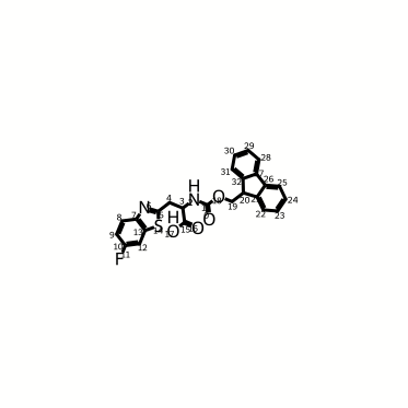 O=C(NC(Cc1nc2ccc(F)cc2s1)C(=O)O)OCC1c2ccccc2-c2ccccc21